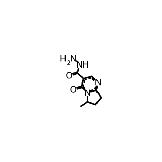 CC1CCc2ncc(C(=O)NN)c(=O)n21